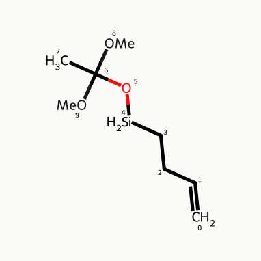 C=CCC[SiH2]OC(C)(OC)OC